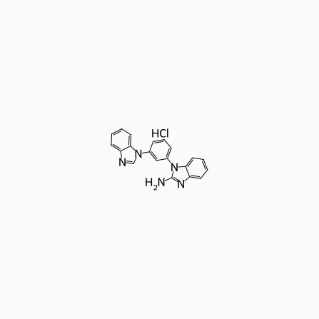 Cl.Nc1nc2ccccc2n1-c1cccc(-n2cnc3ccccc32)c1